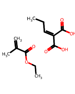 C=C(C)C(=O)OCC.CCC=C(C(=O)O)C(=O)O